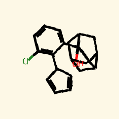 OC1(c2cccc(Cl)c2C2C=CC=C2)C2CC3CC(C2)C1C3